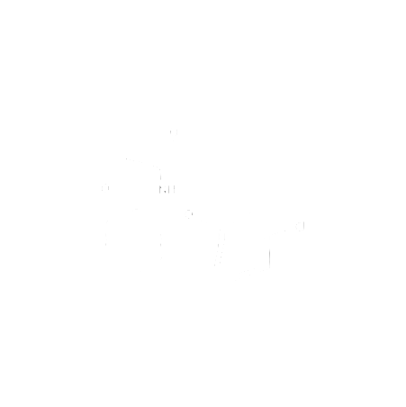 C[C@H]1OC2(CCCC[C@H]2Oc2cccc(Cl)c2)NC1=O